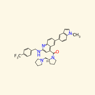 Cn1ccc2cc(-c3ccc4nc(NCc5ccc(C(F)(F)F)cc5)cc(C(=O)N5CCC[C@H]5CN5CCCC5)c4c3)ccc21